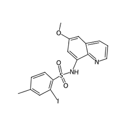 COc1cc(NS(=O)(=O)c2ccc(C)cc2I)c2ncccc2c1